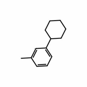 Cc1[c]c(C2CCCCC2)ccc1